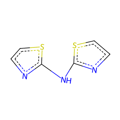 c1csc(Nc2nccs2)n1